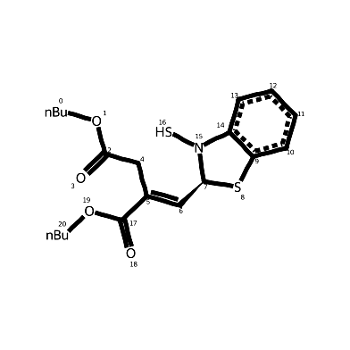 CCCCOC(=O)CC(=C[C@@H]1Sc2ccccc2N1S)C(=O)OCCCC